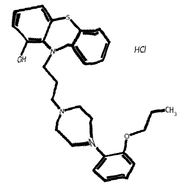 CCCOc1ccccc1N1CCN(CCCN2c3ccccc3Sc3cccc(O)c32)CC1.Cl